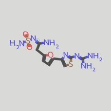 NC(N)=Nc1nc(-c2ccc(C/C(N)=N\S(N)(=O)=O)o2)cs1